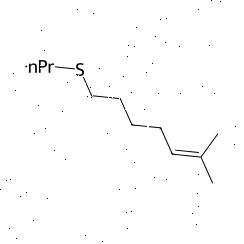 CC[CH]SCCCCC=C(C)C